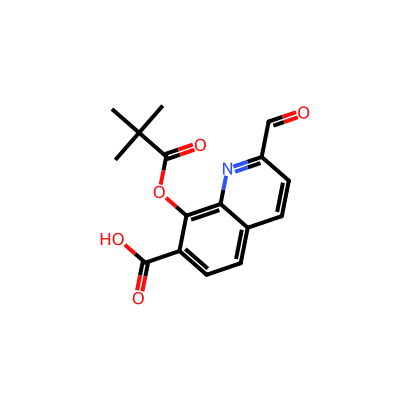 CC(C)(C)C(=O)Oc1c(C(=O)O)ccc2ccc(C=O)nc12